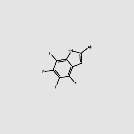 Fc1c(F)c(F)c2[nH][c]([Al])cc2c1F